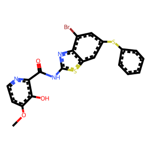 COc1ccnc(C(=O)Nc2nc3c(Br)cc(Sc4ccccc4)cc3s2)c1O